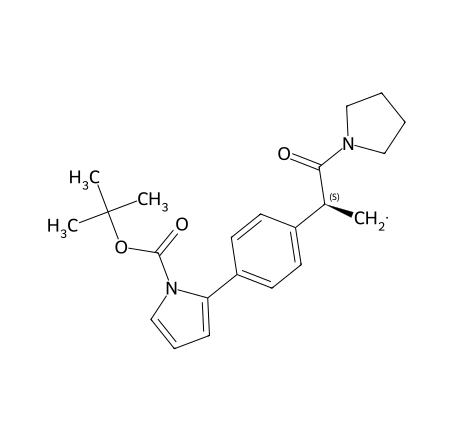 [CH2][C@H](C(=O)N1CCCC1)c1ccc(-c2cccn2C(=O)OC(C)(C)C)cc1